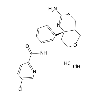 Cl.Cl.NC1=N[C@@]2(c3cccc(NC(=O)c4ccc(Cl)cn4)c3)CCOCC2CS1